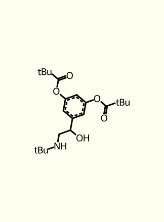 CC(C)(C)NCC(O)c1cc(OC(=O)C(C)(C)C)cc(OC(=O)C(C)(C)C)c1